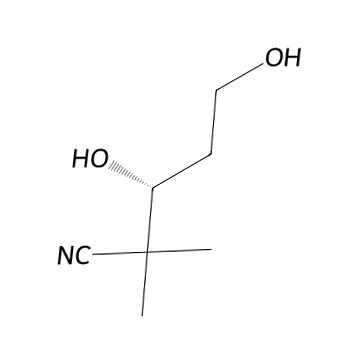 CC(C)(C#N)[C@H](O)CCO